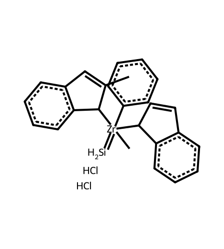 CC1=Cc2ccccc2[CH]1[Zr]([CH3])(=[SiH2])([c]1ccccc1)[CH]1C=Cc2ccccc21.Cl.Cl